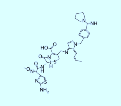 C\C=C/C=C1\C(=N\CC2=C(C(=O)O)N3C(=O)[C@@H](NC(=O)/C(=N\OC)c4csc(N)n4)[C@H]3SC2)C=CN1Cc1ccc(C(=N)N2CCCCC2)cc1